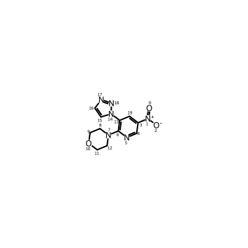 O=[N+]([O-])c1cnc(N2CCOCC2)c(-n2ccnn2)c1